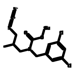 CC(CN=[N+]=[N-])CN(Cc1cc(Cl)cc(Cl)c1)C(=O)OC(C)(C)C